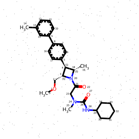 COC[C@@H]1[C@@H](c2ccc(-c3cccc(C)c3)cc2)[C@H](C)N1C(=O)CN(C)C(=O)NC1CCCCC1